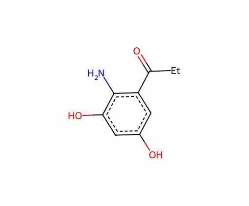 CCC(=O)c1cc(O)cc(O)c1N